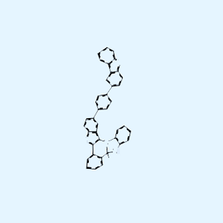 CC12Nc3ccccc3N1c1c(oc3ccc(-c4ccc(-c5ccc6oc7ccccc7c6c5)cc4)cc13)-c1ccccc12